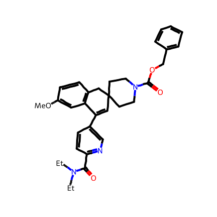 CCN(CC)C(=O)c1ccc(C2=CC3(CCN(C(=O)OCc4ccccc4)CC3)Cc3ccc(OC)cc32)cn1